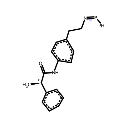 [3H]/P=N\CCc1ccc(NC(=O)[C@H](C)c2ccccc2)cc1